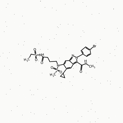 CCS(=O)(=O)NC(=O)CCCN(c1cc2nn(-c3ccc(Br)cc3)c(C(=O)NC)c2cc1C1CC1)S(C)(=O)=O